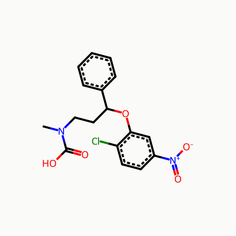 CN(CCC(Oc1cc([N+](=O)[O-])ccc1Cl)c1ccccc1)C(=O)O